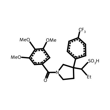 CCC(C1(c2ccc(C(F)(F)F)cc2)CCN(C(=O)c2cc(OC)c(OC)c(OC)c2)C1)S(=O)(=O)O